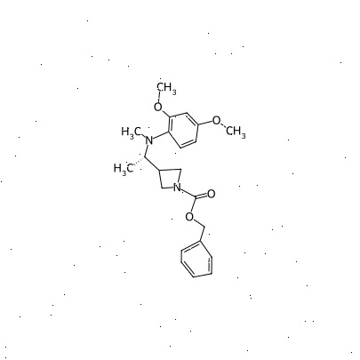 COc1ccc(N(C)[C@@H](C)C2CN(C(=O)OCc3ccccc3)C2)c(OC)c1